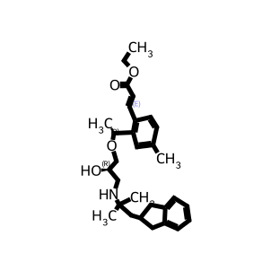 CCOC(=O)/C=C/c1ccc(C)cc1[C@@H](C)OC[C@H](O)CNC(C)(C)CC1Cc2ccccc2C1